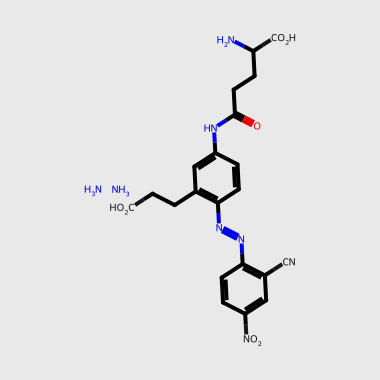 N.N.N#Cc1cc([N+](=O)[O-])ccc1N=Nc1ccc(NC(=O)CCC(N)C(=O)O)cc1CCC(=O)O